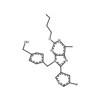 CCCCOc1nc(C)c2nc(-c3cncc(F)c3)n(Cc3ccc(CO)cc3)c2n1